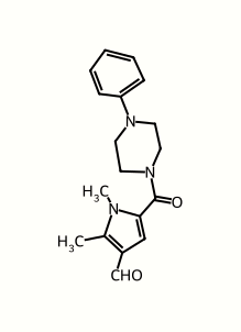 Cc1c(C=O)cc(C(=O)N2CCN(c3ccccc3)CC2)n1C